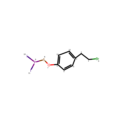 BrCCc1ccc(OSP(I)I)cc1